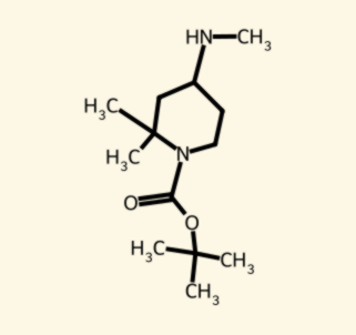 CNC1CCN(C(=O)OC(C)(C)C)C(C)(C)C1